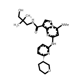 CNc1cc(Nc2cccc([C@H]3CCCOC3)n2)nc2c(C(=O)NCC(C)(C)CO)cnn12